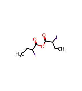 CCC(I)C(=O)OC(=O)C(I)CC